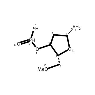 B[C@H]1CC(O[PH](=O)S)[C@@H](COC)O1